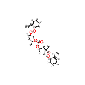 CC(CC(C)(C)OOc1ccccc1C(C)C)OC(=O)OC(C)CC(C)(C)OOc1ccccc1C(C)C